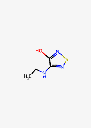 CCNc1nsnc1O